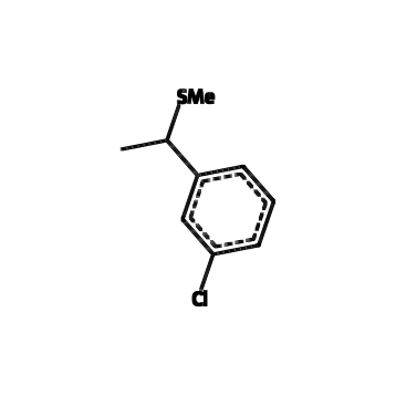 CSC(C)c1cccc(Cl)c1